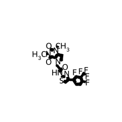 Cn1c(=O)c2c(ccn2CC(=O)Nc2nc(-c3ccc(F)c(C(F)(F)F)c3F)cs2)n(C)c1=O